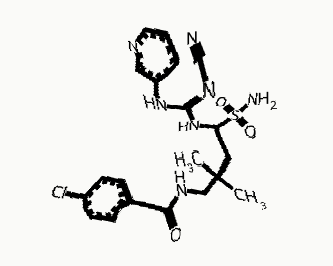 CC(C)(CNC(=O)c1ccc(Cl)cc1)CC(NC(=NC#N)Nc1cccnc1)S(N)(=O)=O